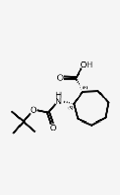 CC(C)(C)OC(=O)N[C@H]1CCCCC[C@H]1C(=O)O